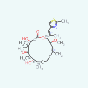 COC1/C=C(/C)CCC[C@H](C)[C@H](O)[C@@H](C)C(=O)C(C)(C)[C@@H](O)CC(=O)O[C@@H]1/C(C)=C/c1csc(C)n1